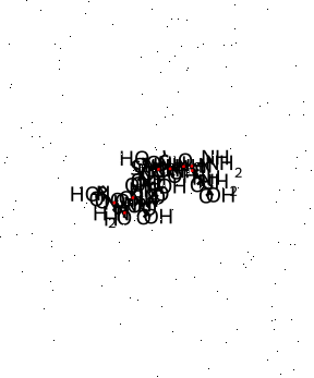 CC(C)C[C@H](NC(=O)[C@H](CO)NC(=O)CNC(=O)[C@H](CCCNC(=N)N)NC(=O)CNC(=O)[C@@H](N)CCC(=O)O)C(=O)N[C@@H](CC(C)C)C(=O)N[C@H](C(=O)N[C@@H](CS)C(=O)NCC(=O)N[C@@H](CC(=O)O)C(=O)N[C@H](C(=O)N[C@@H](CCC(=O)O)C(=O)N[C@@H](CCC(=O)O)C(=O)N[C@@H](CC(N)=O)C(=O)N1CCC[C@H]1C(=O)NCC(=O)N1CCC[C@H]1C(=O)O)C(C)C)[C@@H](C)O